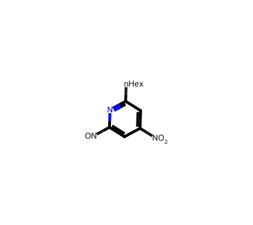 CCCCCCc1cc([N+](=O)[O-])cc(N=O)n1